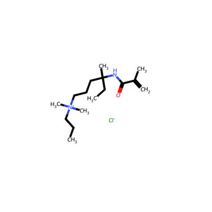 C=C(C)C(=O)NC(C)(CC)CCC[N+](C)(C)CCC.[Cl-]